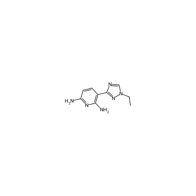 CCn1cnc(-c2ccc(N)nc2N)n1